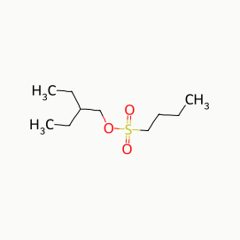 CCCCS(=O)(=O)OCC(CC)CC